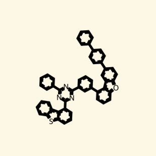 c1ccc(-c2ccc(-c3ccc4oc5cccc(-c6cccc(-c7nc(-c8ccccc8)nc(-c8cccc9sc%10ccccc%10c89)n7)c6)c5c4c3)cc2)cc1